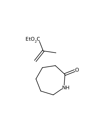 C=C(C)C(=O)OCC.O=C1CCCCCN1